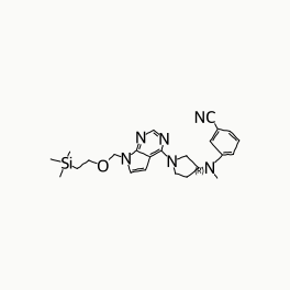 CN(c1cccc(C#N)c1)[C@@H]1CCN(c2ncnc3c2ccn3COCC[Si](C)(C)C)C1